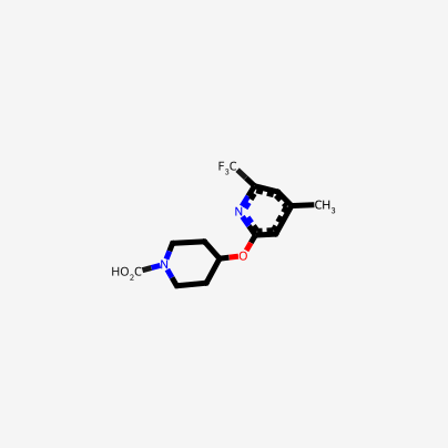 Cc1cc(OC2CCN(C(=O)O)CC2)nc(C(F)(F)F)c1